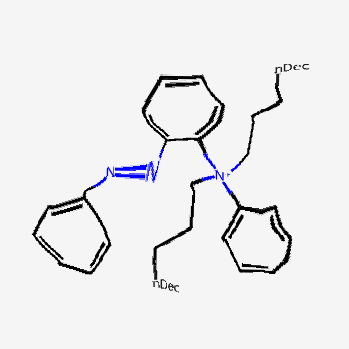 CCCCCCCCCCCCC[N+](CCCCCCCCCCCCC)(c1ccccc1)c1ccccc1N=Nc1ccccc1